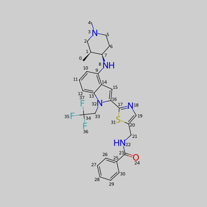 C[C@H]1CN(C)CC[C@H]1Nc1cccc2c1cc(-c1ncc(CNC(=O)c3ccccc3)s1)n2CC(F)(F)F